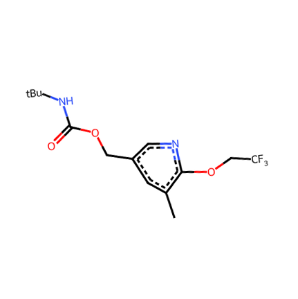 Cc1cc(COC(=O)NC(C)(C)C)cnc1OCC(F)(F)F